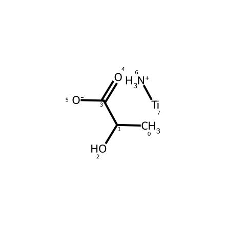 CC(O)C(=O)[O-].[NH3+][Ti]